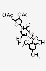 CC(=O)OCC1OC(n2cc(Br)c(OS(=O)(=O)c3c(C)cc(C)cc3C)nc2=O)CC1OC(C)=O